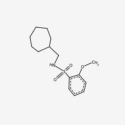 COc1ccccc1S(=O)(=O)NCC1CCCCCC1